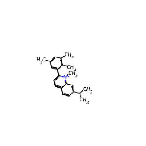 Cc1cc(C)c(C)c(-c2ccc3ccc(C(C)C)cc3[n+]2C)c1